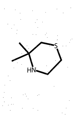 CC1(C)CSCCN1